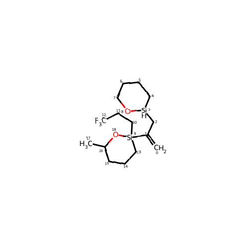 C=C(C[SiH]1CCCCO1)[Si]1(CCC(F)(F)F)CCCC(C)O1